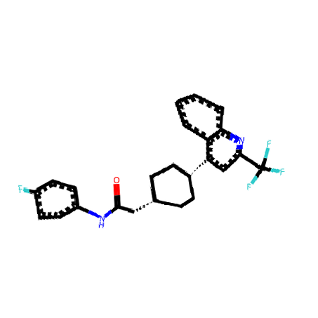 O=C(C[C@H]1CC[C@@H](c2cc(C(F)(F)F)nc3ccccc32)CC1)Nc1ccc(F)cc1